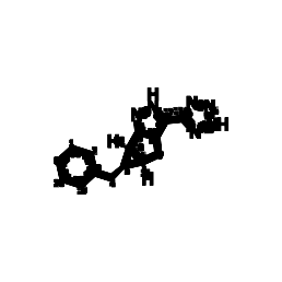 c1ccc(C[C@@H]2[C@@H]3Cc4c(n[nH]c4-c4nn[nH]n4)[C@H]23)cc1